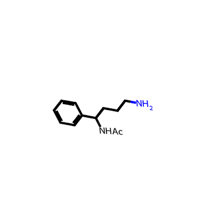 CC(=O)NC(CCCN)c1ccccc1